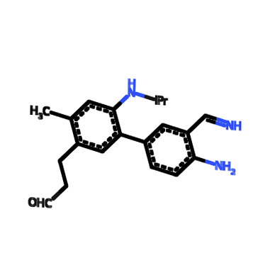 Cc1cc(NC(C)C)c(-c2ccc(N)c(C=N)c2)cc1CCC=O